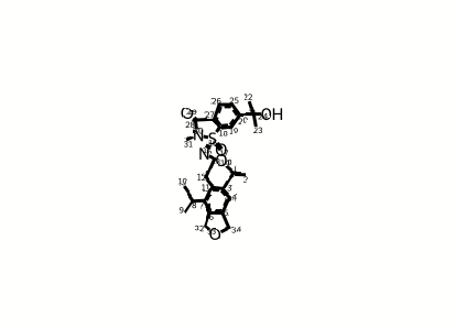 CC(C)c1cc2c(c(C(C)C)c1CC(=O)N=S1(=O)c3cc(C(C)(C)O)ccc3C(=O)N1C)COC2